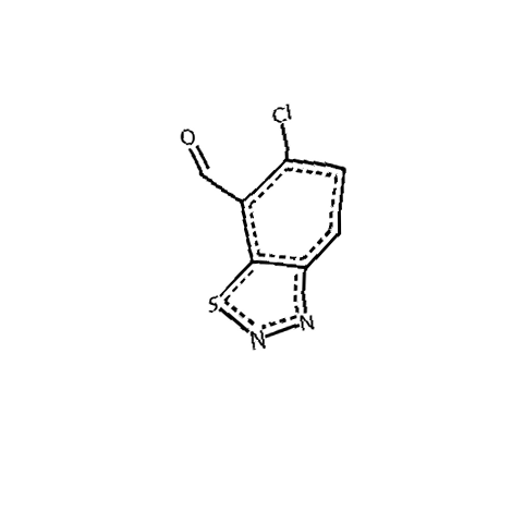 O=Cc1c(Cl)ccc2nnsc12